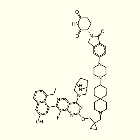 CCc1cccc2cc(O)cc(-c3ncc4c(N5CC6CCC(C5)N6)nc(OCC5(CN6CCC7(CCC(N8CCN(c9ccc%10c(c9)CN([C@H]9CCC(=O)NC9=O)C%10=O)CC8)CC7)CC6)CC5)nc4c3F)c12